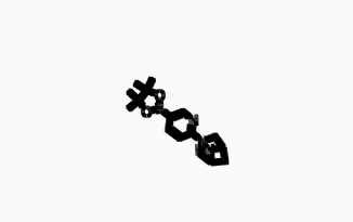 CC1(C)OB(c2ccc(N3CC4CC(C3)N4)nc2)OC1(C)C